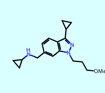 COCCCn1nc(C2CC2)c2ccc(CNC3CC3)cc21